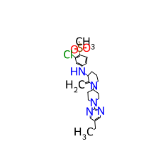 C=C1[C@@H](Nc2ccc(S(C)(=O)=O)c(Cl)c2)CCCN1C1CCN(c2ncc(CC)cn2)CC1